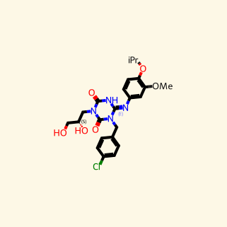 COc1cc(/N=c2\[nH]c(=O)n(C[C@H](O)CO)c(=O)n2Cc2ccc(Cl)cc2)ccc1OC(C)C